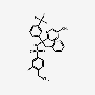 CCc1ccc(S(=O)(=O)NC(Cc2ccccc2)(c2cccc(C(F)(F)F)c2)c2ccc(C)cn2)cc1F